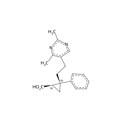 Cc1ncc(CC[C@@]2(c3ccccc3)C[C@H]2C(=O)O)c(C)n1